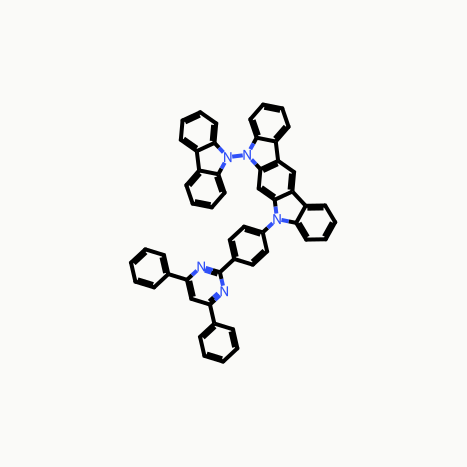 c1ccc(-c2cc(-c3ccccc3)nc(-c3ccc(-n4c5ccccc5c5cc6c7ccccc7n(-n7c8ccccc8c8ccccc87)c6cc54)cc3)n2)cc1